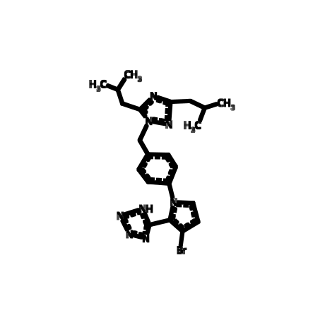 CC(C)Cc1nc(CC(C)C)n(Cc2ccc(-n3ccc(Br)c3-c3nnn[nH]3)cc2)n1